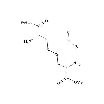 COC(=O)[C@@H](N)CSSC[C@H](N)C(=O)OC.ClOCl